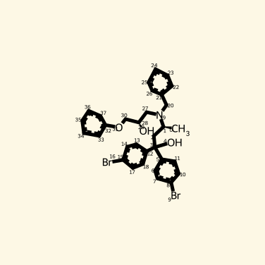 C[C@@H](CC(O)(c1ccc(Br)cc1)c1ccc(Br)cc1)N(Cc1ccccc1)C[C@H](O)COc1ccccc1